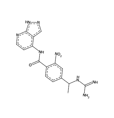 CC(NC(=N)N)c1ccc(C(=O)Nc2ccnc3[nH]ncc23)c([N+](=O)[O-])c1